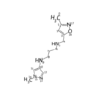 Cc1cc(CNCCCNc2cnn(C)c2)on1